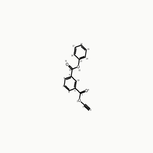 C#COC(=O)c1cccc(C(=O)Oc2ccccc2)c1